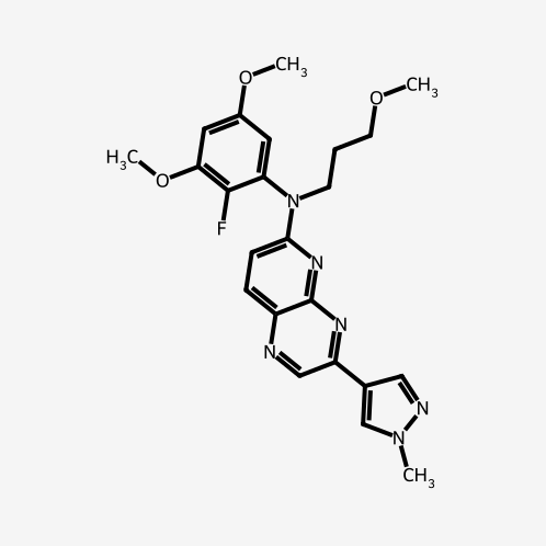 COCCCN(c1ccc2ncc(-c3cnn(C)c3)nc2n1)c1cc(OC)cc(OC)c1F